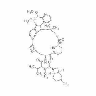 CCn1c(-c2cccnc2[C@H](C)OC)c2c3cc(ccc31)-c1csc(n1)C[C@H](NC(=O)[C@H](C(C)C)N(C)C(=O)N1C[C@H]3CN(C)CC[C@H]31)C(=O)N1CCC[C@@](O)(N1)C(=O)OCC(C)(C)C2